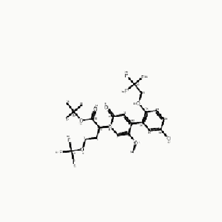 COc1cn(C(CCOC(F)(F)F)C(=O)OC(C)(C)C)c(=O)cc1-c1cc(Cl)ccc1OCC(F)(F)F